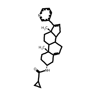 C[C@]12CC[C@@H](NC(=O)C3CC3)CC1=CCC1C2CC[C@]2(C)C(c3cccnc3)=CCC12